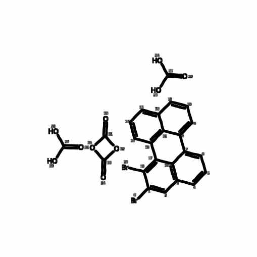 Brc1cc2cccc3c4cccc5cccc(c(c1Br)c23)c54.O=C(O)O.O=C(O)O.O=C1OC(=O)O1